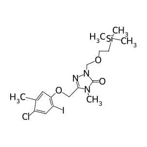 Cc1cc(OCc2nn(COCC[Si](C)(C)C)c(=O)n2C)c(I)cc1Cl